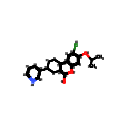 CC(C)Oc1cc2oc(=O)c3c(c2cc1Cl)CCC(c1cccnc1)C3